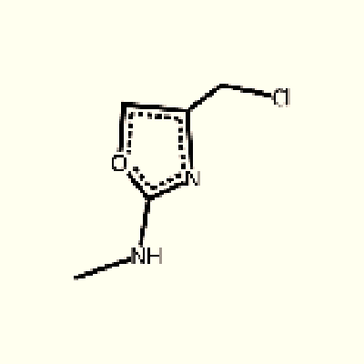 CNc1nc(CCl)co1